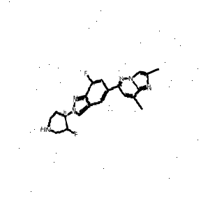 Cc1cn2nc(-c3cc(F)c4nn([C@@H]5CCNCC5F)cc4c3)cc(C)c2n1